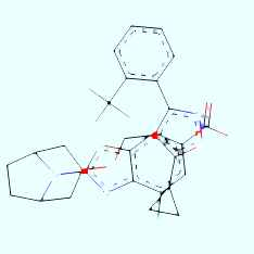 O=C(O)c1cc(F)c2nc(N3C4CC[C@H]3CC(OCc3c(-c5ccccc5C(F)(F)F)noc3C3CC3)C4)sc2c1